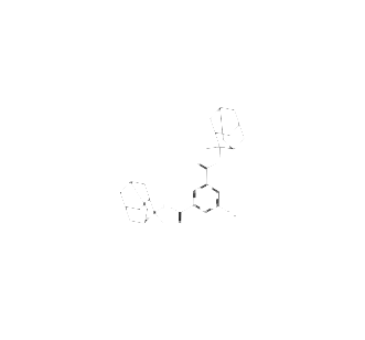 CC1(OC(=O)c2cc(S)cc(C(=O)OC3(C)C4CC5CC(C4)CC3C5)c2)C2CC3CC(C2)CC1C3